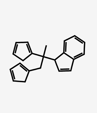 CC(CC1=CC=CC1)(C1=CC=CC1)C1C=Cc2ccccc21